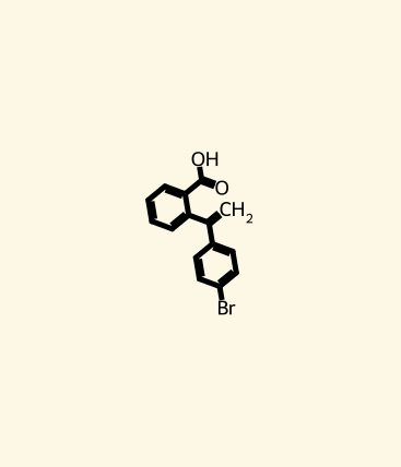 C=C(c1ccc(Br)cc1)c1ccccc1C(=O)O